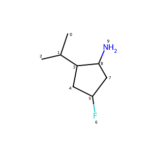 CC(C)C1CC(F)CC1N